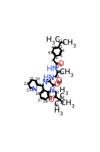 CC(C)c1ccc(CC(=O)N[C@@H](C)C(=O)NC2N=C(c3ccccn3)c3ccccc3N(CC(=O)C(C)(C)C)C2=O)cc1